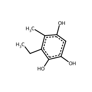 CCc1c(C)c(O)cc(O)c1O